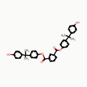 CC(C)(c1ccc(O)cc1)c1ccc(OC(=O)c2cccc(C(=O)Oc3ccc(C(C)(C)c4ccc(O)cc4)cc3)c2)cc1